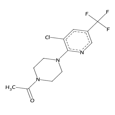 CC(=O)N1CCN(c2ncc(C(F)(F)F)cc2Cl)CC1